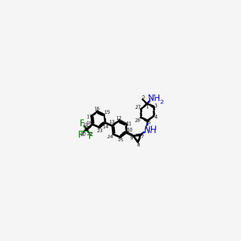 CC1(N)CCC(NC2CC2c2ccc(-c3cccc(C(F)(F)F)c3)cc2)CC1